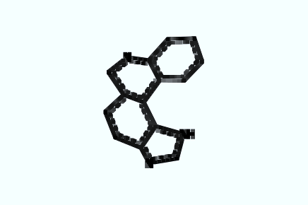 c1ccc2c(c1)ncc1ccc3nc[nH]c3c12